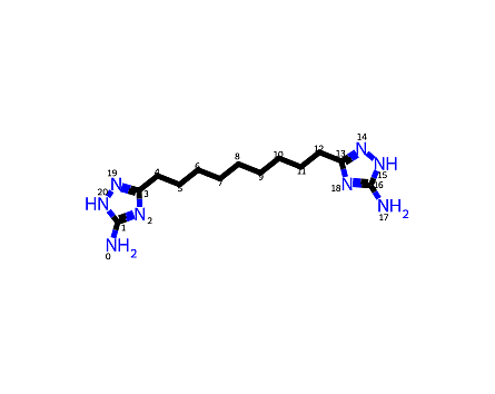 Nc1nc(CCCCCCCCCc2n[nH]c(N)n2)n[nH]1